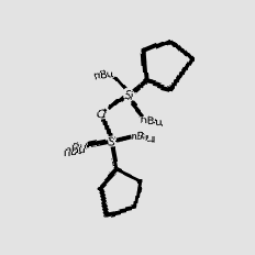 CCCC[Si](CCCC)(O[Si](CCCC)(CCCC)C1CCCC1)C1CCCC1